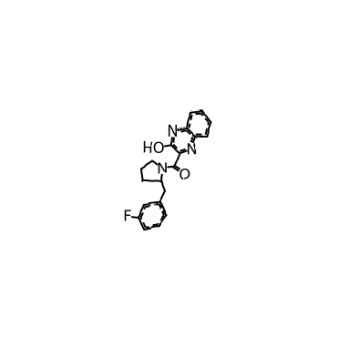 O=C(c1nc2ccccc2nc1O)N1CCCC1Cc1cccc(F)c1